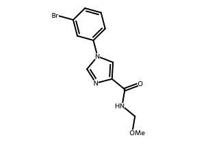 COCNC(=O)c1cn(-c2cccc(Br)c2)cn1